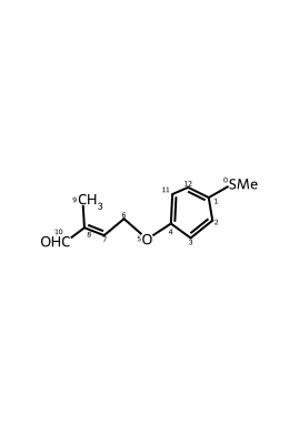 CSc1ccc(OC/C=C(\C)C=O)cc1